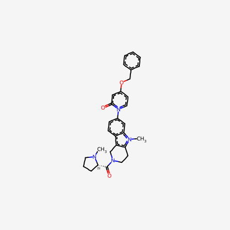 CN1CCC[C@H]1C(=O)N1CCc2c(c3ccc(-n4ccc(OCc5ccccc5)cc4=O)cc3n2C)C1